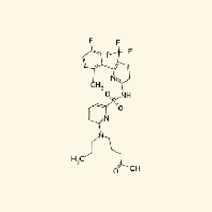 CCCN(CCCC(=O)O)c1cccc(S(=O)(=O)Nc2ccc(C(F)(F)F)c(-c3cc(F)ccc3C)n2)n1